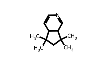 CC1(C)CC(C)(C)C2C=NC=CC21